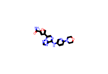 NC(=O)c1cc(-c2cnc(Nc3ccc(N4CCOCC4)nc3)c3ncnn23)co1